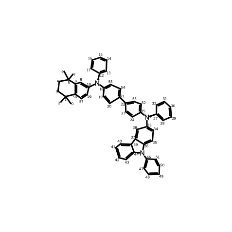 CC1(C)CCC(C)(C)c2cc(N(c3ccccc3)c3ccc(-c4ccc(N(c5ccccc5)c5ccc6c(c5)c5ccccc5n6-c5ccccc5)cc4)cc3)ccc21